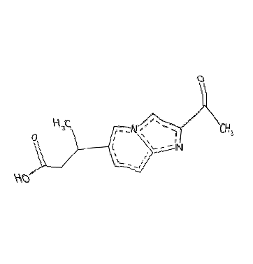 CC(=O)c1cn2cc(C(C)CC(=O)O)ccc2n1